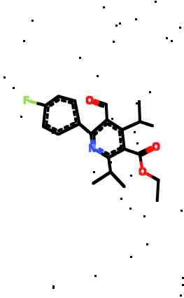 CCOC(=O)c1c(C(C)C)nc(-c2ccc(F)cc2)c(C=O)c1C(C)C